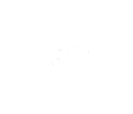 O=C(O)c1ccc(C2(NC(=O)c3cc(F)cnc3N3CC(Oc4cccc(OC(F)(F)F)c4)C3)CC2)cc1